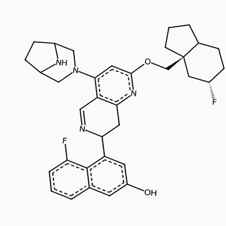 Oc1cc(C2Cc3nc(OC[C@@]45CCCC4CC[C@H](F)C5)cc(N4CC5CCC(C4)N5)c3C=N2)c2c(F)cccc2c1